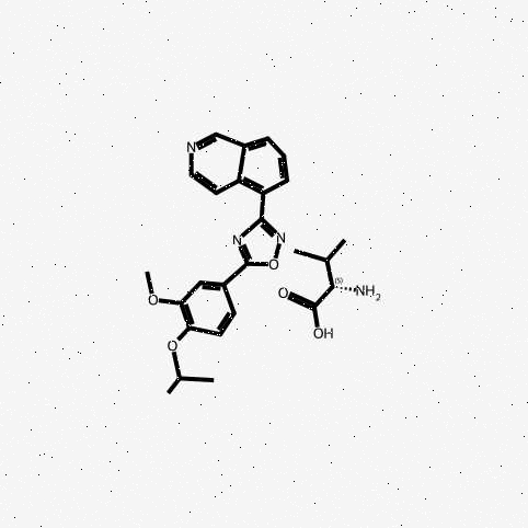 CC(C)[C@H](N)C(=O)O.COc1cc(-c2nc(-c3cccc4cnccc34)no2)ccc1OC(C)C